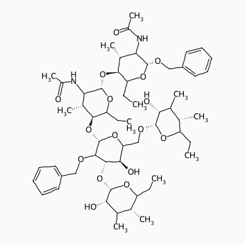 CCC1O[C@H](OCC2O[C@@H](O[C@@H]3C(CC)O[C@@H](O[C@@H]4C(CC)O[C@@H](OCc5ccccc5)C(NC(C)=O)[C@H]4C)C(NC(C)=O)[C@H]3C)C(OCc3ccccc3)[C@@H](O[C@@H]3OC(CC)[C@H](C)C(C)[C@@H]3O)[C@@H]2O)[C@H](O)C(C)[C@@H]1C